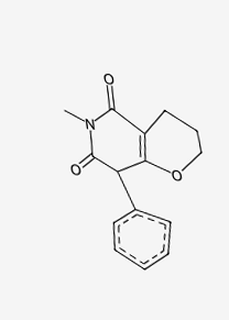 CN1C(=O)C2=C(OCCC2)C(c2ccccc2)C1=O